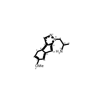 COC1=CCC2=c3cnn(CC(C)N)c3=CC2=C1